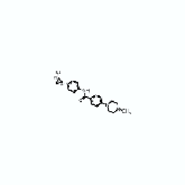 CC[C@H]1C[C@H]1c1ccc(NC(=O)c2ccc(N3CCN(C)CC3)cc2)cc1